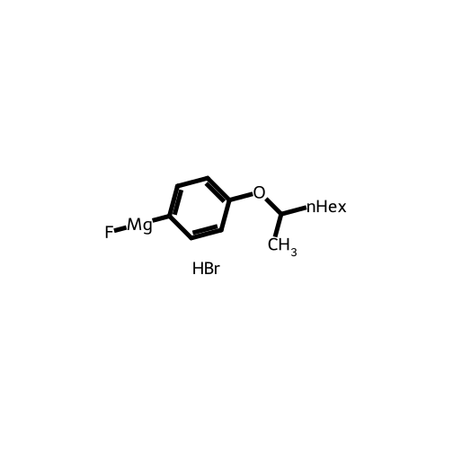 Br.CCCCCCC(C)Oc1cc[c]([Mg][F])cc1